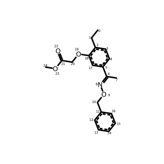 CCc1ccc(/C(C)=N/OCc2ccccc2)cc1OCC(=O)OC